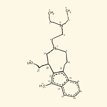 CCN(CC)CCN1CCc2c(n(C)c3ccccc23)C(CO)C1